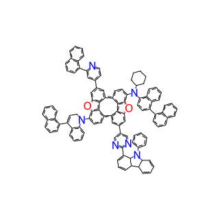 C1=CC2C3C=CC=C(c4ncc(-c5cc6oc7c(N(c8ccc(-c9cccc%10ccccc9%10)c9ccccc89)C8CCCCC8)ccc8c9cc(-c%10ccnc(-c%11cccc%12ccccc%11%12)c%10)cc%10oc%11c(N%12CC=C(c%13cccc%14ccccc%13%14)c%13ccccc%13%12)ccc(c(c5)c6c78)c%11c%109)cn4)C3N(c3ccccc3)C2C=C1